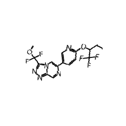 CCC(Oc1ccc(-c2cn3c(C(F)(F)OC)nnc3cn2)cn1)C(F)(F)F